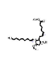 CCCCO[C@@H]1C[C@H](O)C(C/C=C\CCCC(=O)OC)[C@H]1/C=C/CCCCCCO